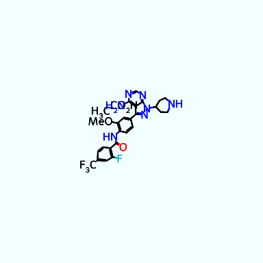 CC(=O)O.COc1cc(-c2nn(C3CCNCC3)c3ncnc(N)c23)ccc1NC(=O)c1ccc(C(F)(F)F)cc1F